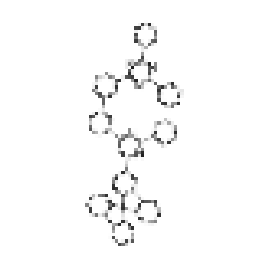 c1ccc(-c2nc(-c3cccc(-c4cccc(-c5nc(-c6ccccc6)nc(-c6ccccc6)n5)c4)c3)cc(-c3ccc4c(c3)-c3ccccc3C43c4ccccc4-c4ccccc43)n2)cc1